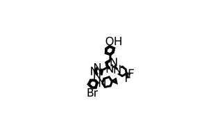 Oc1ccc(-c2cc(-c3cn(-c4ccc(Br)cc4N4CCC5(CC4)CC5)nn3)nc(N3CCC(F)(F)CC3)n2)cc1